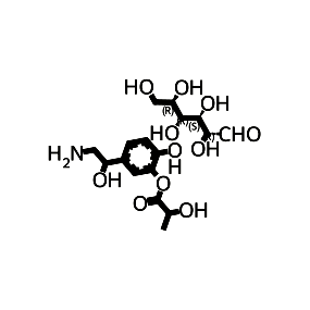 CC(O)C(=O)Oc1cc(C(O)CN)ccc1O.O=C[C@H](O)[C@@H](O)[C@H](O)[C@H](O)CO